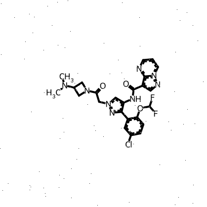 CN(C)C1CN(C(=O)Cn2cc(NC(=O)c3cnn4cccnc34)c(-c3cc(Cl)ccc3OC(F)F)n2)C1